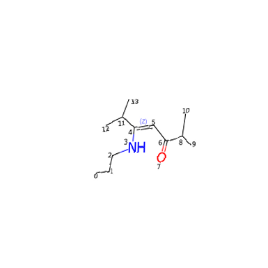 CCCN/C(=C\C(=O)C(C)C)C(C)C